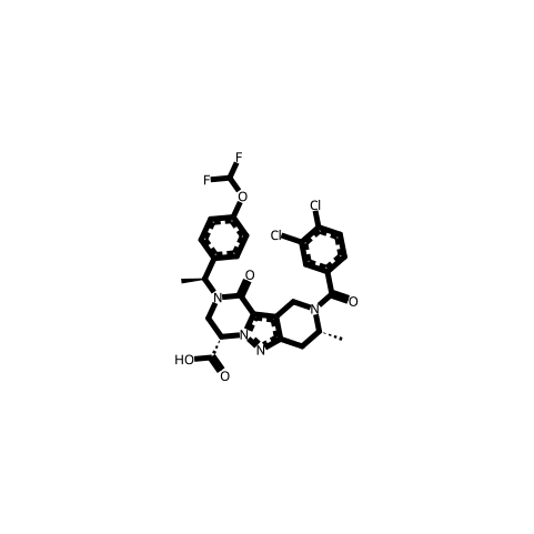 C[C@@H]1Cc2nn3c(c2CN1C(=O)c1ccc(Cl)c(Cl)c1)C(=O)N([C@@H](C)c1ccc(OC(F)F)cc1)C[C@H]3C(=O)O